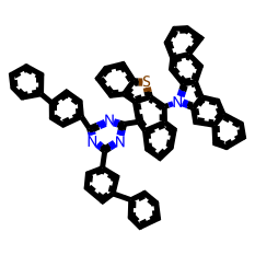 c1ccc(-c2ccc(-c3nc(-c4cccc(-c5ccccc5)c4)nc(-c4c5ccccc5c(-n5c6cc7ccccc7cc6c6cc7ccccc7cc65)c5sc6ccccc6c45)n3)cc2)cc1